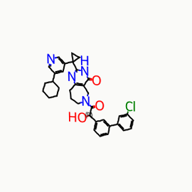 O=C([C@H](O)c1cccc(-c2cccc(Cl)c2)c1)N1CCCc2nc(C3(c4cncc(C5CCCCC5)c4)CC3)[nH]c(=O)c2C1